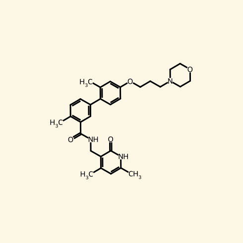 Cc1cc(C)c(CNC(=O)c2cc(-c3ccc(OCCCN4CCOCC4)cc3C)ccc2C)c(=O)[nH]1